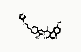 COc1ccc2ncc(Cl)c([C@@H](F)CCC3(C(=O)O)CCN(CCSc4ccsc4)CC3)c2c1